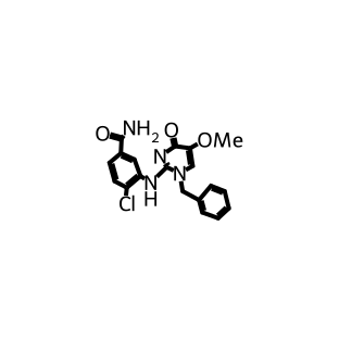 COc1cn(Cc2ccccc2)c(Nc2cc(C(N)=O)ccc2Cl)nc1=O